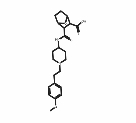 COc1ccc(CCN2CCC(NC(=O)C3C4CCC(O4)C3C(=O)O)CC2)cc1